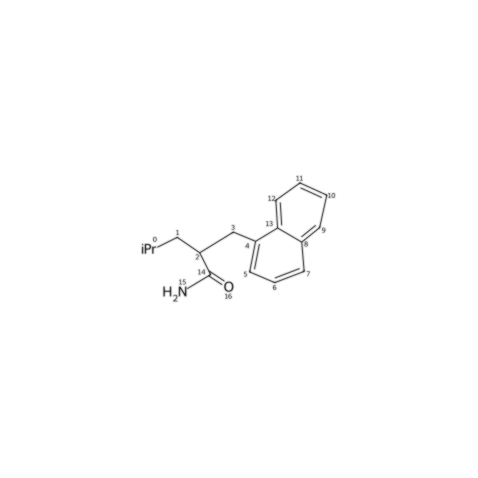 CC(C)CC(Cc1cccc2ccccc12)C(N)=O